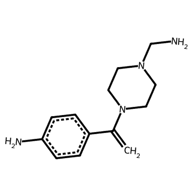 C=C(c1ccc(N)cc1)N1CCN(CN)CC1